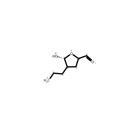 CCCC1CC(C=O)O[C@H]1O